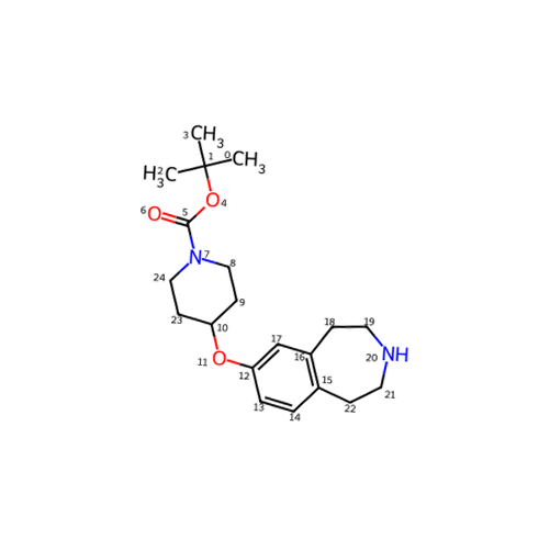 CC(C)(C)OC(=O)N1CCC(Oc2ccc3c(c2)CCNCC3)CC1